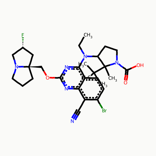 CCN(c1nc(OC[C@@]23CCCN2C[C@H](F)C3)nc2c(C#N)c(Br)ccc12)C1CCN(C(=O)O)C1(C)C(C)(C)C